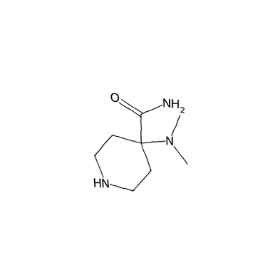 CN(C)C1(C(N)=O)CCNCC1